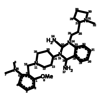 COc1cccc(N(C)C)c1CN1CCC(N2C(N)c3ccccc3N(CCC3CCCN3C)C2N)CC1